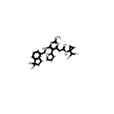 Cc1nc(CC(=O)NC2(C(F)F)CC2)c(C2CCCO2)c(NCc2cccc3c2CCC3(F)F)n1